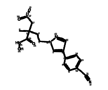 CC(CCn1cc(-c2ccc(C#N)cc2)cn1)(C[SH](=O)=O)C(=O)NO